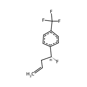 C=CC[C@@H](F)c1ccc(C(F)(F)F)cc1